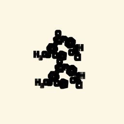 COc1ccc(C2CC(=O)N(Cc3ccc(NC(=O)CCl)cc3)C2)cc1OC1CCCC1.COc1ccc(C2CC(=O)N(Cc3ccc(NC(=O)CCl)cc3)C2)cc1OC1CCCC1